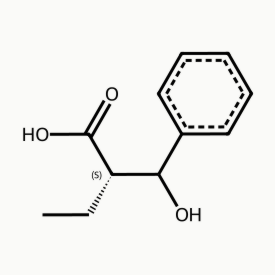 CC[C@H](C(=O)O)C(O)c1ccccc1